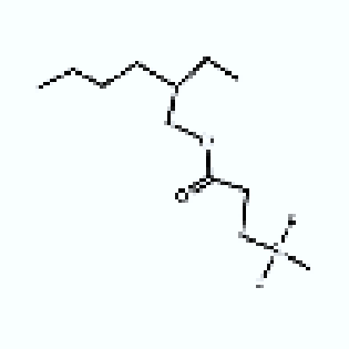 CCCCC(CC)COC(=O)CC[Si](C)(F)F